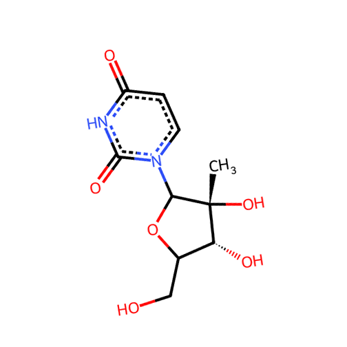 C[C@]1(O)C(n2ccc(=O)[nH]c2=O)OC(CO)[C@H]1O